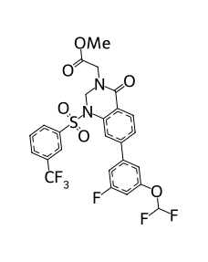 COC(=O)CN1CN(S(=O)(=O)c2cccc(C(F)(F)F)c2)c2cc(-c3cc(F)cc(OC(F)F)c3)ccc2C1=O